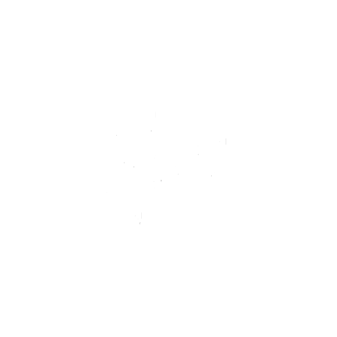 C=C.O=C(OC(Cl)(Cl)Cl)OC(Cl)(Cl)Cl